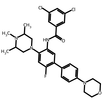 CC1CN(c2cc(F)c(-c3ccc(N4CCOCC4)cc3)cc2NC(=O)c2cc(Cl)cc(Cl)c2)CC(C)N1C